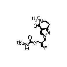 CN1CCc2nn(C/C(=C\F)COC(=O)NC(C)(C)C)cc2C1=O